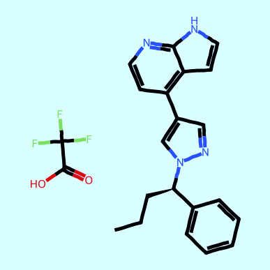 CCC[C@H](c1ccccc1)n1cc(-c2ccnc3[nH]ccc23)cn1.O=C(O)C(F)(F)F